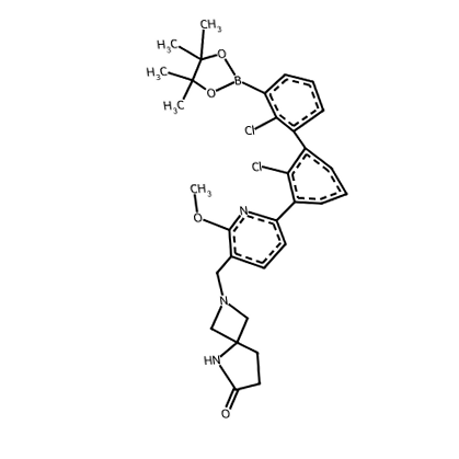 COc1nc(-c2cccc(-c3cccc(B4OC(C)(C)C(C)(C)O4)c3Cl)c2Cl)ccc1CN1CC2(CCC(=O)N2)C1